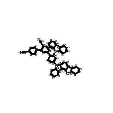 N#Cc1ccc(-c2cc(-c3ccc(-n4c5ccccc5c5c6oc7ccccc7c6ccc54)cc3-n3c4ccccc4c4ccccc43)ccc2C#N)cc1